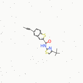 CC#Cc1ccc2sc(C(=O)Nc3nc(C(C)(C)C)cs3)cc2c1